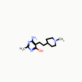 Cc1nc(N)c(CCC2CCN(C)CC2)c(O)n1